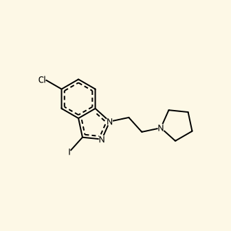 Clc1ccc2c(c1)c(I)nn2CCN1CCCC1